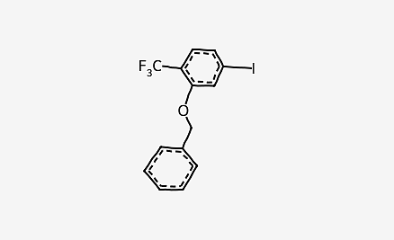 FC(F)(F)c1ccc(I)cc1OCc1ccccc1